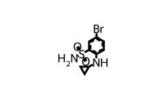 NS(=O)(=O)c1cc(Br)ccc1NC1CC1